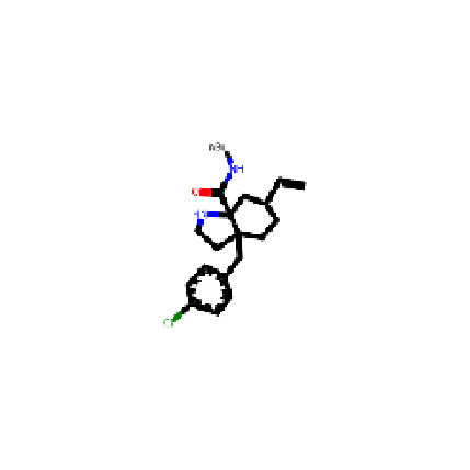 C=CC1CCC2(Cc3ccc(Cl)cc3)CCNC2(C(=O)NCCCC)C1